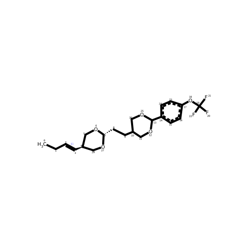 CC/C=C/[C@H]1CO[C@H](CCC2COC(c3ccc(OC(F)(F)F)cc3)OC2)OC1